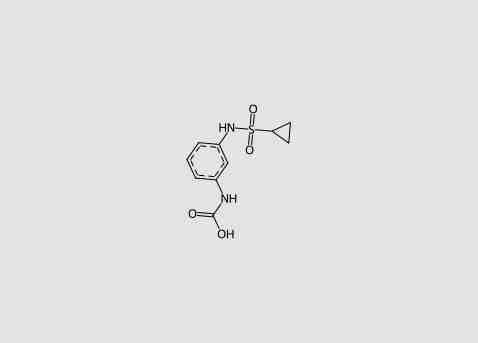 O=C(O)Nc1cccc(NS(=O)(=O)C2CC2)c1